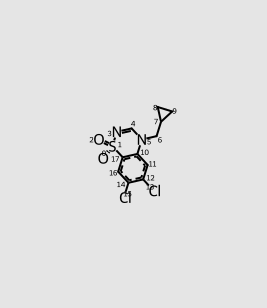 O=S1(=O)N=CN(CC2CC2)c2cc(Cl)c(Cl)cc21